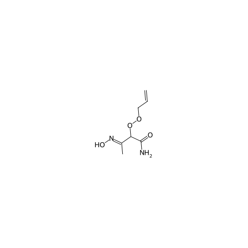 C=CCOOC(C(N)=O)C(C)=NO